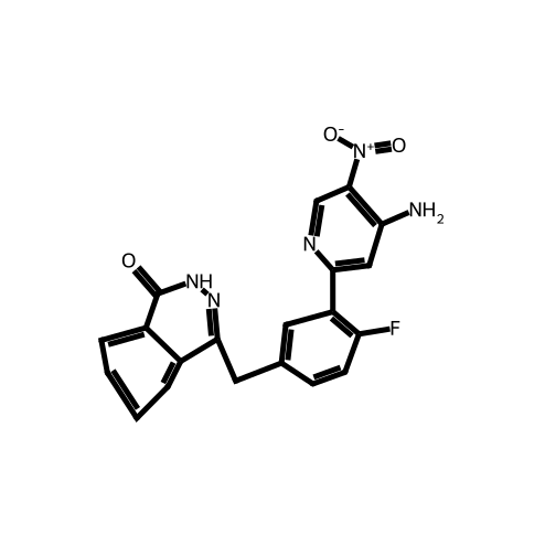 Nc1cc(-c2cc(Cc3n[nH]c(=O)c4ccccc34)ccc2F)ncc1[N+](=O)[O-]